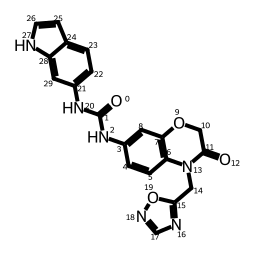 O=C(Nc1ccc2c(c1)OCC(=O)N2Cc1ncno1)Nc1ccc2cc[nH]c2c1